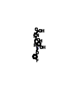 O=C(O)c1csc([C@H]2CC[C@@H]3[C@@H](/C=C/COc4cccc(F)c4)[C@H](O)C[C@@H]3O2)n1